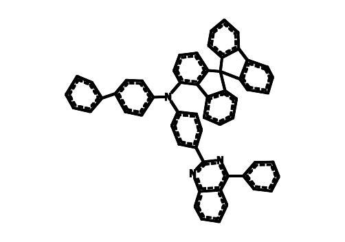 c1ccc(-c2ccc(N(c3ccc(-c4nc(-c5ccccc5)c5ccccc5n4)cc3)c3cccc4c3-c3ccccc3C43c4ccccc4-c4ccccc43)cc2)cc1